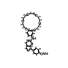 COc1ccc(-n2ncc3cnc(Nc4ccc5c(c4)OCCOCCOCCOCCOCCO5)nc32)cc1